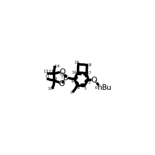 CCCCOc1cc(C)c(B2OC(C)(C)C(C)(C)O2)c2c1CC2